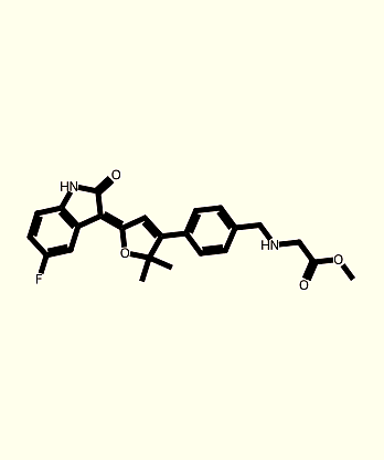 COC(=O)CNCc1ccc(C2=C/C(=C3\C(=O)Nc4ccc(F)cc43)OC2(C)C)cc1